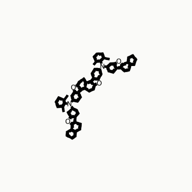 Cc1cccc(C)c1N(c1ccc2c(c1)oc1c3ccccc3ccc21)c1ccc2c(c1)oc1ccc3c(ccc4oc5cc(N(c6ccc7c(c6)oc6c8ccccc8ccc76)c6c(C)cccc6C)ccc5c43)c12